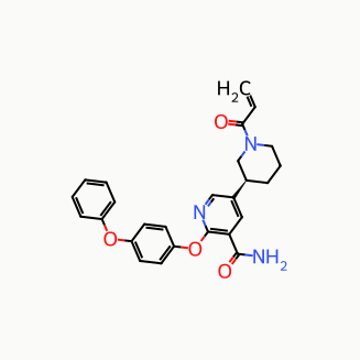 C=CC(=O)N1CCC[C@@H](c2cnc(Oc3ccc(Oc4ccccc4)cc3)c(C(N)=O)c2)C1